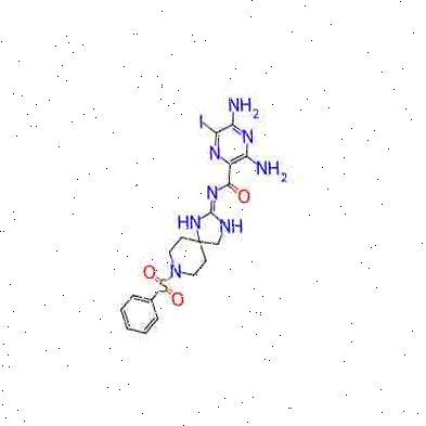 Nc1nc(N)c(C(=O)/N=C2\NCC3(CCN(S(=O)(=O)c4ccccc4)CC3)N2)nc1I